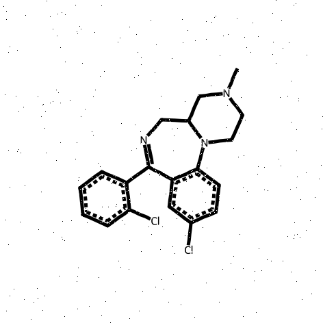 CN1CCN2c3ccc(Cl)cc3C(c3ccccc3Cl)=NCC2C1